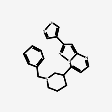 c1ccc(CN2CCCC(c3ccnc4cc(-c5cnsc5)nn34)C2)cc1